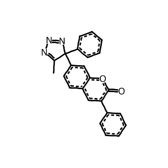 CC1=NN=NC1(c1ccccc1)c1ccc2cc(-c3ccccc3)c(=O)oc2c1